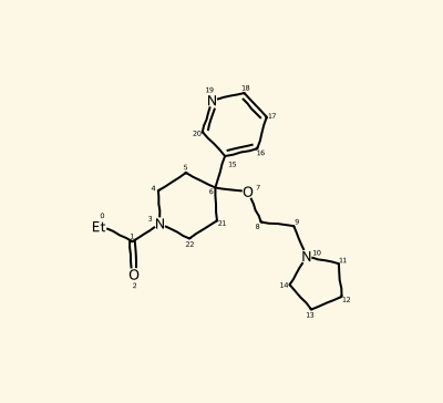 CCC(=O)N1CCC(OCCN2CCCC2)(c2cccnc2)CC1